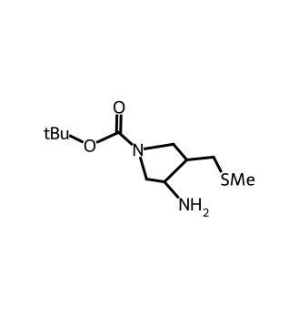 CSCC1CN(C(=O)OC(C)(C)C)CC1N